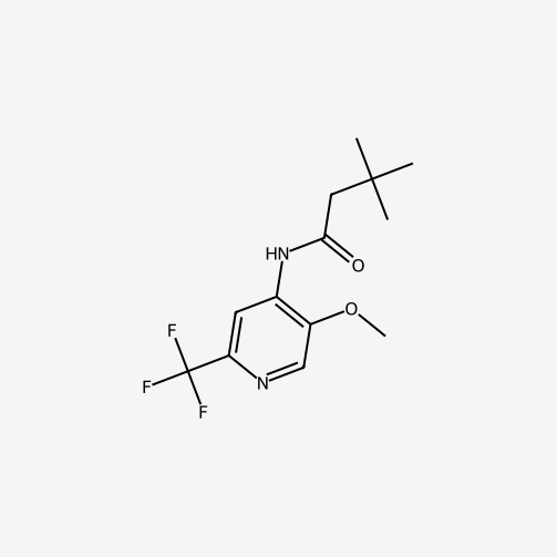 COc1cnc(C(F)(F)F)cc1NC(=O)CC(C)(C)C